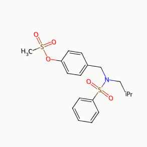 CC(C)CN(Cc1ccc(OS(C)(=O)=O)cc1)S(=O)(=O)c1ccccc1